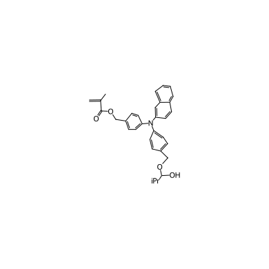 C=C(C)C(=O)OCc1ccc(N(c2ccc(COC(O)C(C)C)cc2)c2ccc3ccccc3c2)cc1